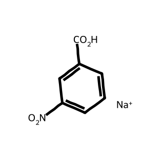 O=C(O)c1cccc([N+](=O)[O-])c1.[Na+]